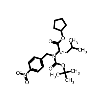 CC(C)C[C@@H](C(=O)OC1CCCC1)N(Cc1ccc([N+](=O)[O-])cc1)C(=O)OC(C)(C)C